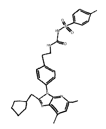 Cc1ccc(S(=O)(=O)NC(=O)NCCc2ccc(-n3c(CC4CCCC4)nc4c(C)cc(C)nc43)cc2)cc1